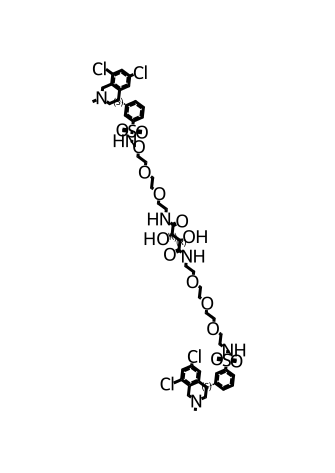 CN1Cc2c(Cl)cc(Cl)cc2[C@H](c2cccc(S(=O)(=O)NCCOCCOCCOCCNC(=O)[C@H](O)[C@@H](O)C(=O)NCCOCCOCCONS(=O)(=O)c3cccc([C@@H]4CN(C)Cc5c(Cl)cc(Cl)cc54)c3)c2)C1